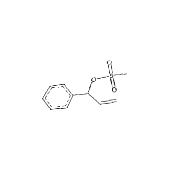 C=CC(OS(C)(=O)=O)c1ccccc1